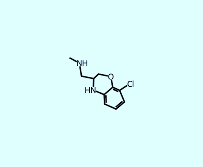 CNCC1COc2c(Cl)cccc2N1